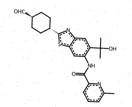 Cc1cccc(C(=O)Nc2cc3sc([C@H]4CC[C@H](C=O)CC4)nc3cc2C(C)(C)O)n1